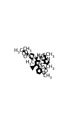 COc1cccc(-c2nc3c(cc2C2CC2)c(N2CCN(C(=O)OC(C)(C)C)CC2C)nc(=O)n3-c2c(C)ccnc2C(C)C)c1OC(C)=O